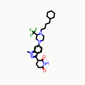 Cn1nc(C2CCC(=O)NC2=O)c2ccc(N3CCN(CCCCC4CCCCC4)C(C(F)(F)F)C3)cc21